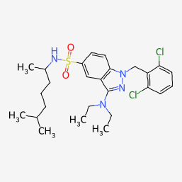 CCN(CC)c1nn(Cc2c(Cl)cccc2Cl)c2ccc(S(=O)(=O)NC(C)CCCC(C)C)cc12